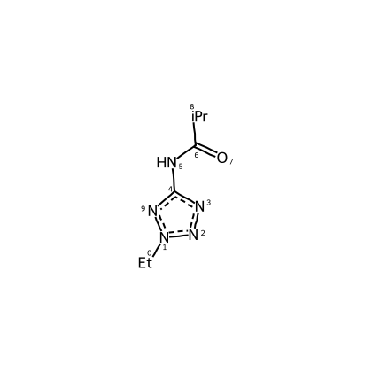 CCn1nnc(NC(=O)C(C)C)n1